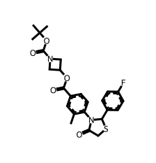 Cc1cc(C(=O)OC2CN(C(=O)OC(C)(C)C)C2)ccc1N1C(=O)CSC1c1ccc(F)cc1